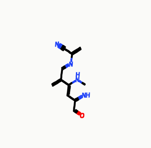 C=C(C#N)/N=C/C(=C)/C(=C/C(=N)C=O)NC